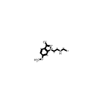 COc1ccc2c(Cl)nn(CCNCI)c2c1